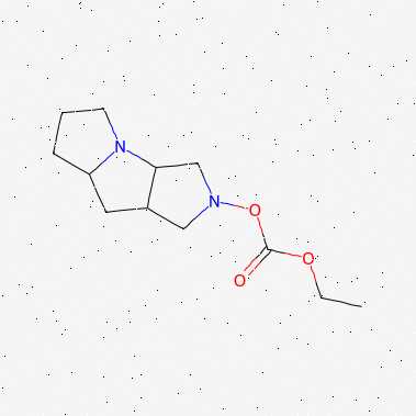 CCOC(=O)ON1CC2CC3CCCN3C2C1